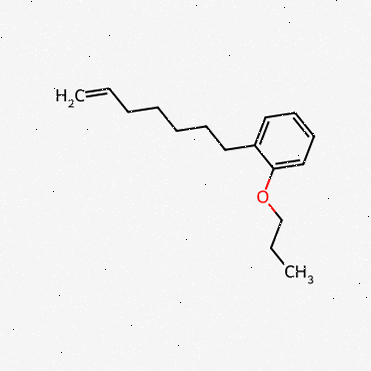 C=CCCCCCc1ccccc1OCCC